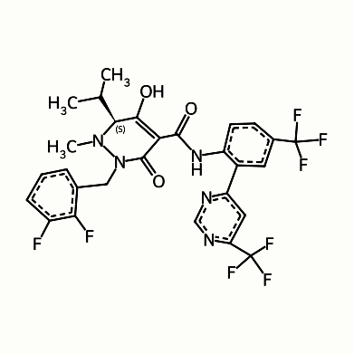 CC(C)[C@H]1C(O)=C(C(=O)Nc2ccc(C(F)(F)F)cc2-c2cc(C(F)(F)F)ncn2)C(=O)N(Cc2cccc(F)c2F)N1C